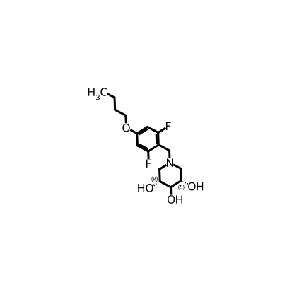 CCCCOc1cc(F)c(CN2C[C@@H](O)C(O)[C@@H](O)C2)c(F)c1